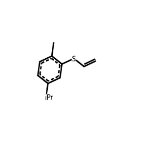 C=CSc1cc(C(C)C)ccc1C